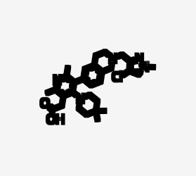 Cc1nc(C)c(-c2ccc3c(c2)CCN(Cc2nn(C)cc2Cl)C3)c(N2CCC(C)(C)CC2)c1CC(=O)O